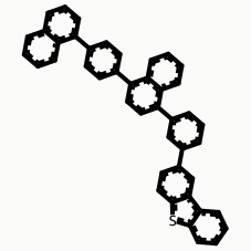 c1cc(-c2ccc3sc4ccccc4c3c2)cc(-c2ccc(-c3ccc(-c4cccc5ccccc45)cc3)c3ccccc23)c1